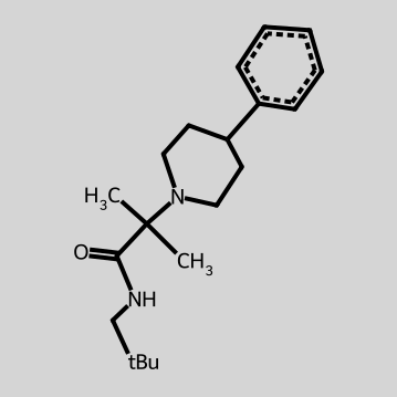 CC(C)(C)CNC(=O)C(C)(C)N1CCC(c2ccccc2)CC1